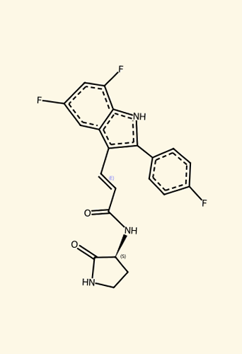 O=C(/C=C/c1c(-c2ccc(F)cc2)[nH]c2c(F)cc(F)cc12)N[C@H]1CCNC1=O